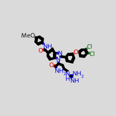 COc1ccc(NC(=O)c2ccc3c(c2)nc(-c2cccc(Oc4ccc(Cl)c(Cl)c4)c2)n3C(CCCNC(=N)N)C(N)=O)cc1